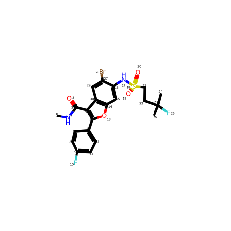 CNC(=O)c1c(-c2ccc(F)cc2)oc2cc(NS(=O)(=O)CCC(C)(C)F)c(Br)cc12